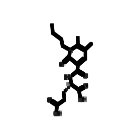 CCCCn1c(C)c(C)cc(C(=O)N[C@@H](CCC(=O)O)C(=O)O)c1=O